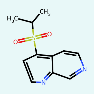 CC(C)S(=O)(=O)c1ccnc2cnccc12